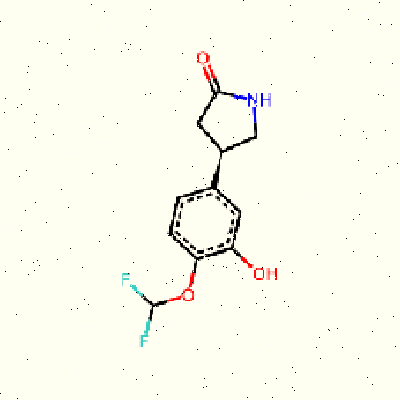 O=C1C[C@H](c2ccc(OC(F)F)c(O)c2)CN1